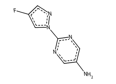 Nc1cnc(-n2cc(F)cn2)nc1